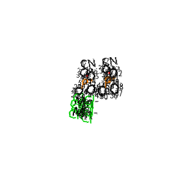 N#Cc1ccc(C[P+](c2ccccc2)(c2ccccc2)c2ccccc2)cc1.N#Cc1ccc(C[P+](c2ccccc2)(c2ccccc2)c2ccccc2)cc1.[Cl][Mn-]([Cl])([Cl])[Cl].[Cl][Mn-]([Cl])([Cl])[Cl]